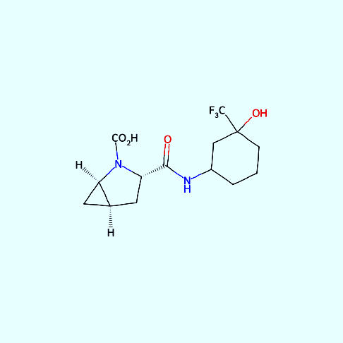 O=C(NC1CCCC(O)(C(F)(F)F)C1)[C@@H]1C[C@H]2C[C@H]2N1C(=O)O